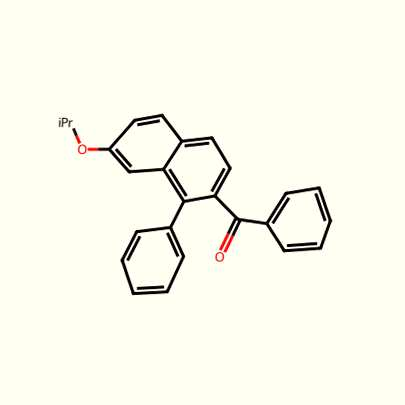 CC(C)Oc1ccc2ccc(C(=O)c3ccccc3)c(-c3ccccc3)c2c1